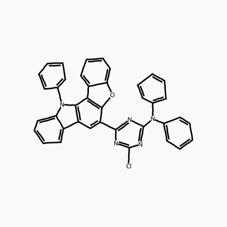 Clc1nc(-c2cc3c4ccccc4n(-c4ccccc4)c3c3c2oc2ccccc23)nc(N(c2ccccc2)c2ccccc2)n1